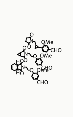 COc1cc(C=O)ccc1C1CC1CN1C(=O)CCC1=O.COc1cc(C=O)ccc1OCCN1C(=O)C2CC2C1=O.COc1cc(C=O)ccc1OCCN1C(=O)[C@H]2CC=CC[C@H]2C1=O